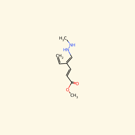 C=CC(/C=C/C(=O)OC)=C\NNC